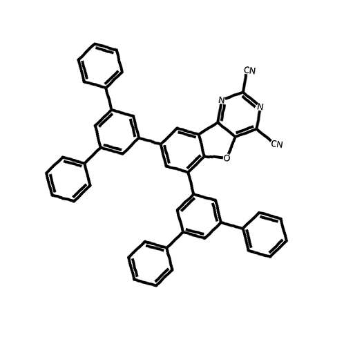 N#Cc1nc(C#N)c2oc3c(-c4cc(-c5ccccc5)cc(-c5ccccc5)c4)cc(-c4cc(-c5ccccc5)cc(-c5ccccc5)c4)cc3c2n1